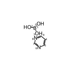 OB(O)O.c1cncnc1